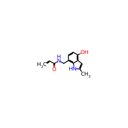 C=CC(=O)NCc1ccc(O)c2cc(C)[nH]c12